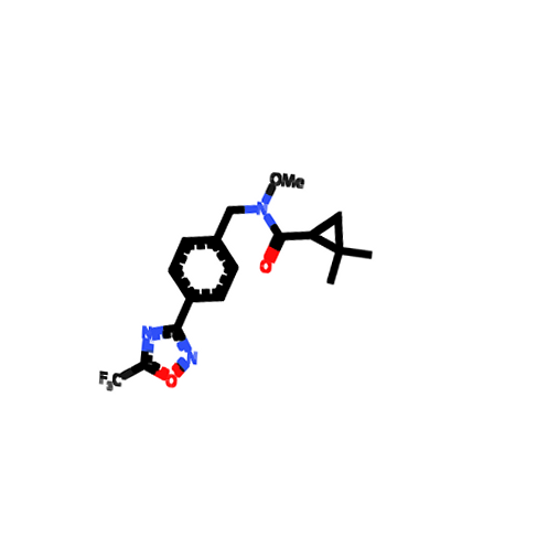 CON(Cc1ccc(-c2noc(C(F)(F)F)n2)cc1)C(=O)C1CC1(C)C